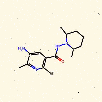 CCc1nc(C)c(N)cc1C(=O)NN1C(C)CCCC1C